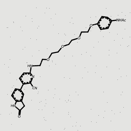 CC(=O)Nc1ccc(OCCOCCOCCOCCNc2ccc(-c3ccc4c(c3)CC(=O)N4)c(C#N)n2)cc1